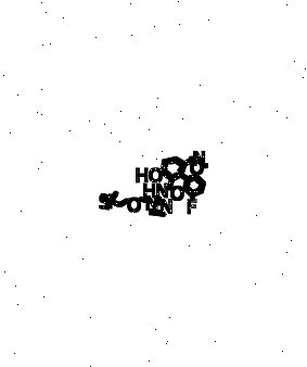 COc1ccc(F)cc1-c1c(C#N)ccc(O)c1C(=O)Nc1nccn1COCC[Si](C)(C)C